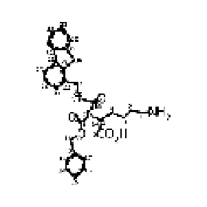 NCCCC[C@@H](C(=O)O)N(C(=O)OCc1ccccc1)C(=O)OCc1cccc2c1Cc1ccccc1-2